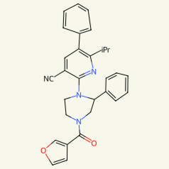 CC(C)c1nc(N2CCN(C(=O)c3ccoc3)CC2c2ccccc2)c(C#N)cc1-c1ccccc1